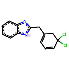 ClC1(Cl)C=CC=C(Cc2nc3ccccc3[nH]2)C1